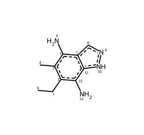 CCc1c(C)c(N)c2cn[nH]c2c1N